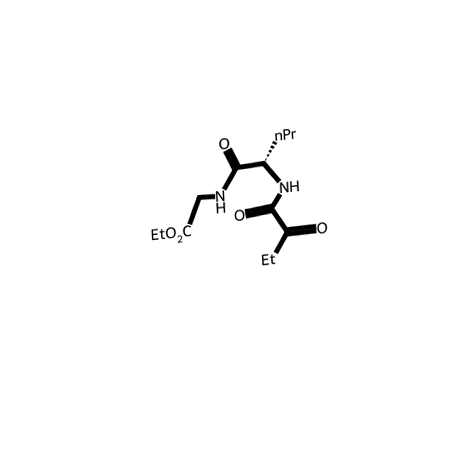 CCC[C@H](NC(=O)C(=O)CC)C(=O)NCC(=O)OCC